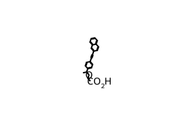 CC(OCC(=O)O)c1ccc(C#Cc2ccc3ccccc3c2)cc1